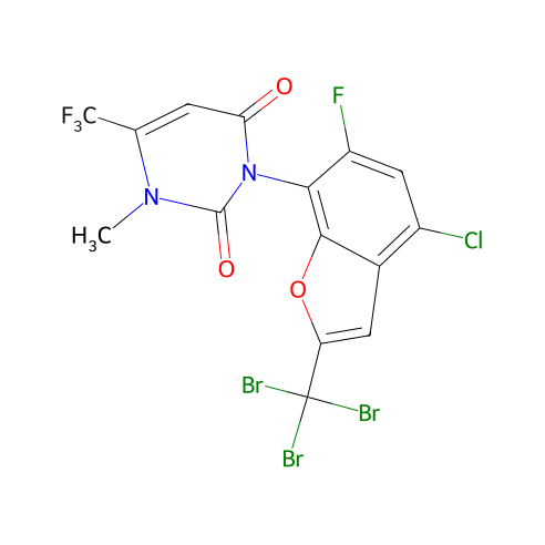 Cn1c(C(F)(F)F)cc(=O)n(-c2c(F)cc(Cl)c3cc(C(Br)(Br)Br)oc23)c1=O